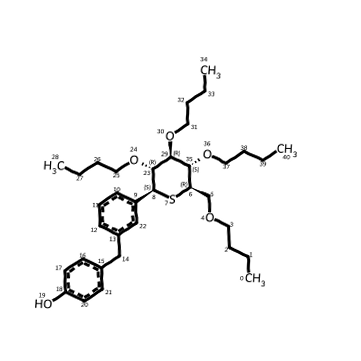 CCCCOC[C@H]1S[C@@H](c2cccc(Cc3ccc(O)cc3)c2)[C@H](OCCCC)[C@@H](OCCCC)[C@@H]1OCCCC